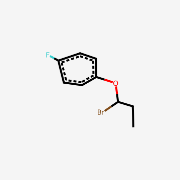 CCC(Br)Oc1ccc(F)cc1